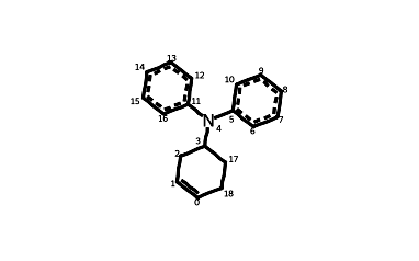 C1=CCC(N(c2ccccc2)c2ccccc2)CC1